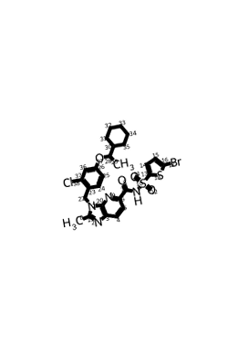 Cc1nc2ccc(C(=O)NS(=O)(=O)c3ccc(Br)s3)nc2n1Cc1ccc(OC(C)C2CCCCC2)cc1Cl